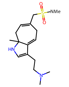 CNS(=O)(=O)CC1=CCC2(C)NC=C(CCN(C)C)C2=CC1